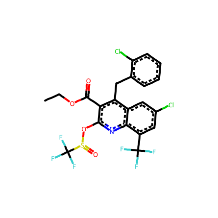 CCOC(=O)c1c(OS(=O)C(F)(F)F)nc2c(C(F)(F)F)cc(Cl)cc2c1Cc1ccccc1Cl